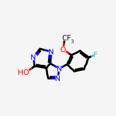 Oc1ncnc2c1cnn2-c1ccc(F)cc1OC(F)(F)F